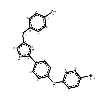 Nc1ccc(Oc2ccc(-c3nnc(Nc4ccc(O)cc4)[nH]3)cc2)nn1